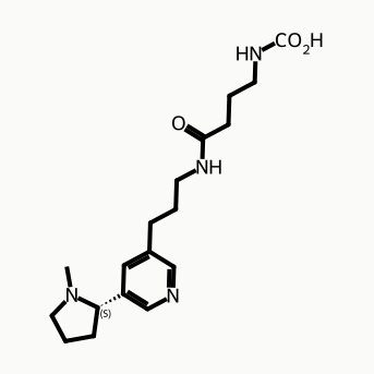 CN1CCC[C@H]1c1cncc(CCCNC(=O)CCCNC(=O)O)c1